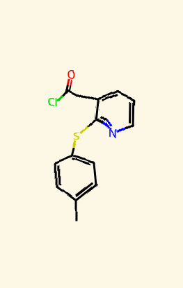 Cc1ccc(Sc2ncccc2C(=O)Cl)cc1